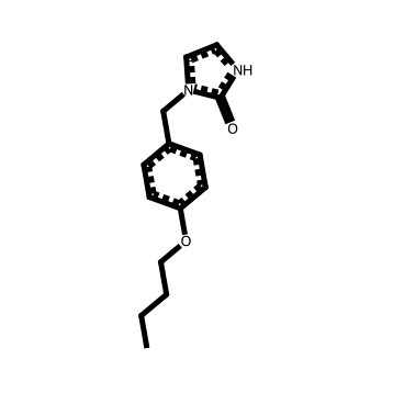 CCCCOc1ccc(Cn2cc[nH]c2=O)cc1